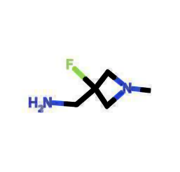 CN1CC(F)(CN)C1